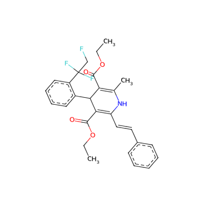 CCOC(=O)C1=C(C)NC(/C=C/c2ccccc2)=C(C(=O)OCC)C1c1ccccc1C(F)(F)CF